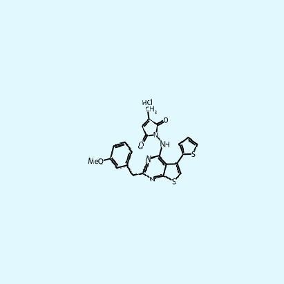 COc1cccc(Cc2nc(NN3C(=O)C=C(C)C3=O)c3c(-c4cccs4)csc3n2)c1.Cl